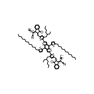 [C-]#[N+]/C(C#N)=C1\C(=Cc2cc(CC(CC)CCCC)c(-c3cc4c(-c5ccc(CCCCCCCCCCCC)s5)c5sc(-c6sc(C=C7C(=O)c8ccccc8/C7=C(/C#N)[N+]#[C-])cc6CC(CC)CCCC)cc5c(-c5ccc(CCCCCCCCCCCC)s5)c4s3)s2)C(=O)c2ccccc21